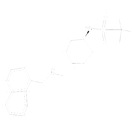 CC(C)(C)S(=O)(=O)N[C@H]1CC[C@H](CNCc2cccc3ccccc23)CC1